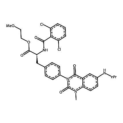 CCCNc1ccc2c(c1)c(=O)n(-c1ccc(C[C@H](NC(=O)c3c(Cl)cccc3Cl)C(=O)OCCOC)cc1)c(=O)n2C